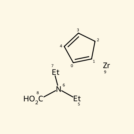 C1=CCC=C1.CCN(CC)C(=O)O.[Zr]